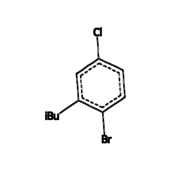 CCC(C)c1cc(Cl)ccc1Br